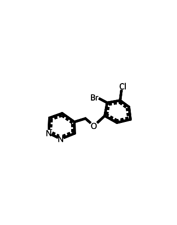 Clc1cccc(OCc2ccnnc2)c1Br